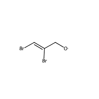 [O]CC(Br)=CBr